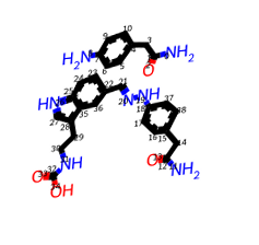 NC(=O)Cc1ccc(N)cc1.NC(=O)Cc1ccc(NN=Cc2ccc3[nH]cc(CCNC(=O)O)c3c2)cc1